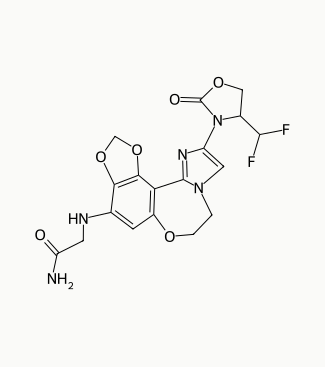 NC(=O)CNc1cc2c(c3c1OCO3)-c1nc(N3C(=O)OCC3C(F)F)cn1CCO2